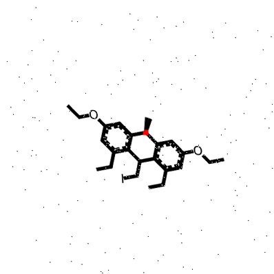 CCOc1cc(CC)c(C(CI)c2c(CC)cc(OCC)cc2CC)c(CC)c1